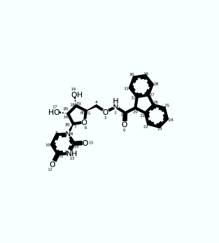 O=C(NOC[C@H]1O[C@@H](n2ccc(=O)[nH]c2=O)[C@H](O)[C@@H]1O)C1c2ccccc2-c2ccccc21